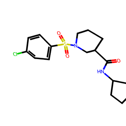 O=C(NC1CCCC1)C1CCCN(S(=O)(=O)c2ccc(Cl)cc2)C1